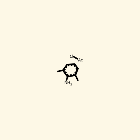 CC(=O)Cl.Cc1cccc(C)c1N